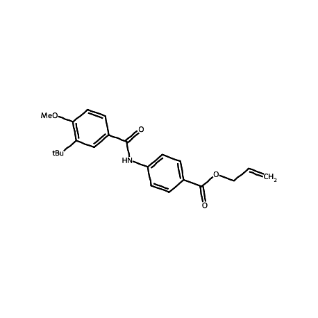 C=CCOC(=O)c1ccc(NC(=O)c2ccc(OC)c(C(C)(C)C)c2)cc1